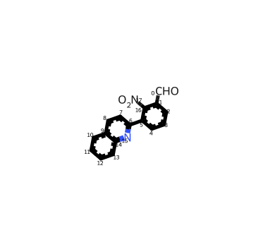 O=Cc1cccc(-c2ccc3ccccc3n2)c1[N+](=O)[O-]